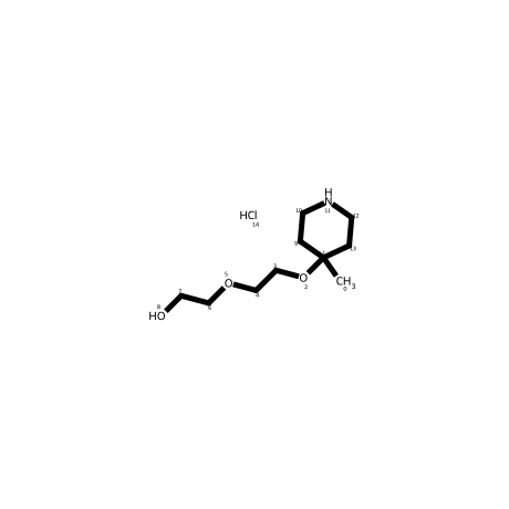 CC1(OCCOCCO)CCNCC1.Cl